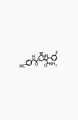 N#Cc1ccc(NC(=O)N2Cc3c(C(N)=O)c(-c4cccc(F)c4)nn3C3(CC3)C2)cc1